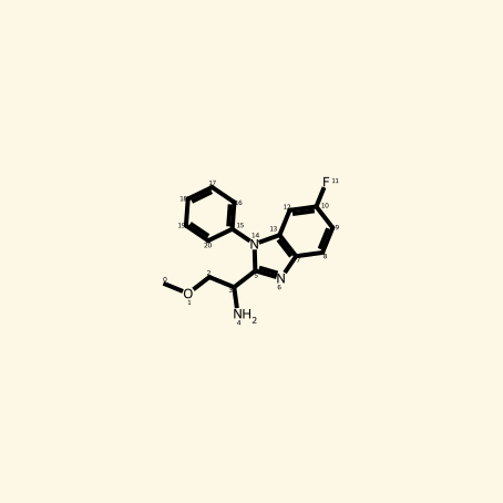 COCC(N)c1nc2ccc(F)cc2n1-c1ccccc1